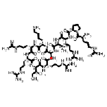 CC[C@H](C)[C@H](NC(=O)[C@H](CCCNC(=N)N)NC(=O)[C@H](CCCNC(=N)N)NC(=O)[C@H](CCCCN)NC(=O)[C@H](C)NC(=O)[C@@H](NC(=O)[C@H](CCCNC(=N)N)NC(=O)[C@@H]1CCCN1C(=O)[C@@H](N)CCCNC(=N)N)[C@@H](C)O)C(=O)N[C@@H](CCCNC(=N)N)C(=O)O